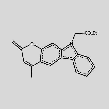 C=C1C=C(C)c2cc3c4ccccc4n(CC(=O)OCC)c3cc2O1